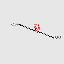 CCCCCCCCC=CCCCCCCCCOC(CCCCCCCCC=CCCCCCCCC)C(O)CO